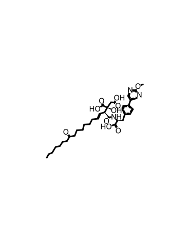 CCCCCCCC(=O)CCCCCC/C=C/[C@H](C(=O)N[C@@H](Cc1ccc(-c2cnc(OC)nc2)cc1)C(=O)O)[C@@](O)(CC(=O)O)C(=O)O